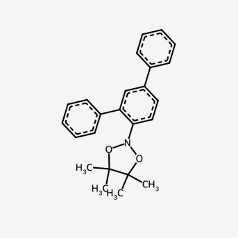 CC1(C)ON(c2ccc(-c3ccccc3)cc2-c2ccccc2)OC1(C)C